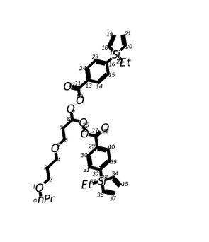 [CH2]CCOCCCOCC[C](OOC(=O)c1ccc([Si](C=C)(C=C)CC)cc1)OOC(=O)c1ccc([Si](C=C)(C=C)CC)cc1